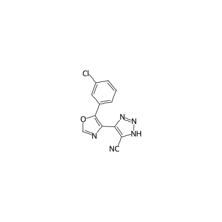 N#Cc1[nH]nnc1-c1ncoc1-c1cccc(Cl)c1